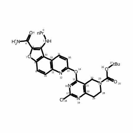 CCCNc1c(C(N)=O)oc2ccc3nc(Oc4nc(Cl)nc5c4CN(C(=O)OC(C)(C)C)CC5)ccc3c12